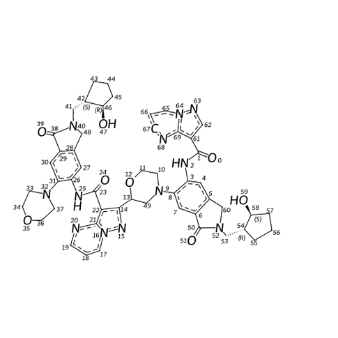 O=C(Nc1cc2c(cc1N1CCOC(c3nn4cccnc4c3C(=O)Nc3cc4c(cc3N3CCOCC3)C(=O)N(C[C@@H]3CCC[C@H]3O)C4)C1)C(=O)N(C[C@H]1CCC[C@@H]1O)C2)c1cnn2cccnc12